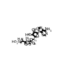 Nc1ncnc2c1ncn2[C@@H]1O[C@H](COP(=O)(O)NC(=O)[C@@H](N)CC(=O)O)[C@@H](O)[C@H]1O